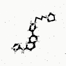 c1nnc(Nc2ccc3ncc(-c4cnn(CCCN5CCCC5)c4)cc3n2)s1